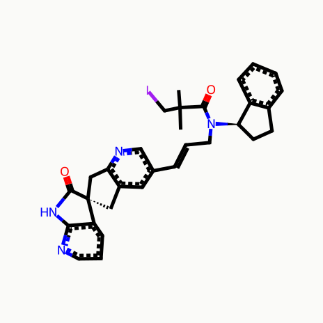 CC(C)(CI)C(=O)N(C/C=C/c1cnc2c(c1)C[C@@]1(C2)C(=O)Nc2ncccc21)[C@@H]1CCc2ccccc21